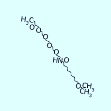 CCC(=O)COCCOCCOCCOCCNC(=O)CCCCCCCCOC(C)C